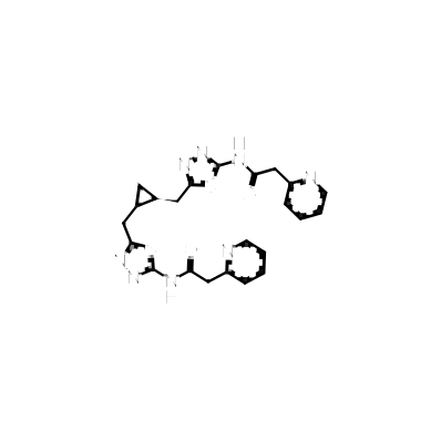 O=C(Cc1ccccn1)Nc1nnc(CC2C[C@H]2Cc2nnc(NC(=O)Cc3ccccn3)s2)s1